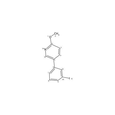 COc1ccc(-c2cccc(I)c2)cn1